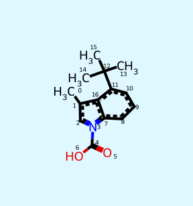 Cc1cn(C(=O)O)c2cccc(C(C)(C)C)c12